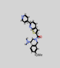 COc1cccc(CN(CCN(C)C)C(=O)c2cc3ccc(-c4ccncc4)nc3s2)c1